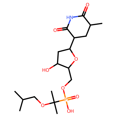 CC(C)COC(C)(C)P(=O)(O)OCC1OC(C2CC(C)C(=O)NC2=O)CC1O